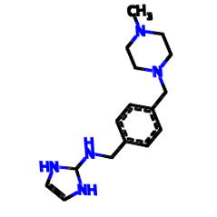 CN1CCN(Cc2ccc(CNC3NC=CN3)cc2)CC1